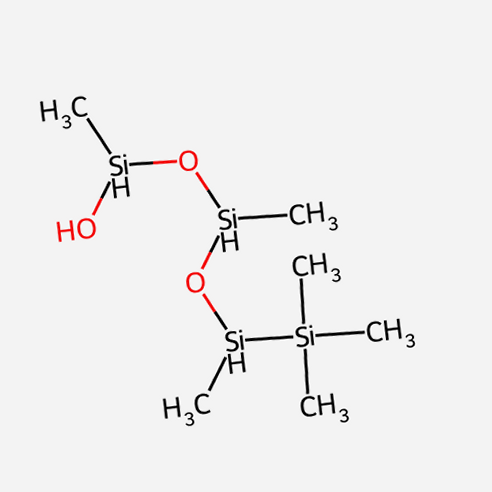 C[SiH](O)O[SiH](C)O[SiH](C)[Si](C)(C)C